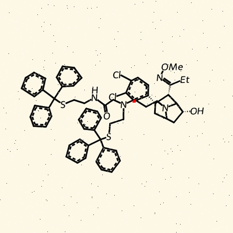 CCC(=NOC)[C@@H]1C2[C@H](O)CC(C[C@@H]1c1ccc(Cl)c(Cl)c1)N2CCCN(CCSC(c1ccccc1)(c1ccccc1)c1ccccc1)CC(=O)NCCSC(c1ccccc1)(c1ccccc1)c1ccccc1